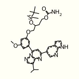 COc1cc(OCC(CCOC(N)=O)O[Si](C)(C)C(C)(C)C)cc(-c2cc(-c3cnc4[nH]ccc4c3)nc3c(C(C)C)cnn23)c1